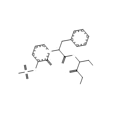 CCS(=O)(=O)Nc1cccn(C(Cc2ccccc2)C(=O)NC(CC(=O)O)C(=O)CF)c1=O